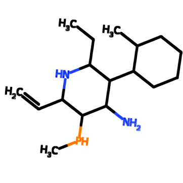 C=CC1NC(CC)C(C2CCCCC2C)C(N)C1PC